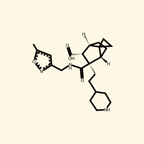 Cc1cc(CNC(=O)[C@@]2(CCC3CCNCC3)[C@H](C(=O)O)[C@H]3CC[C@H]2C32CC2)no1